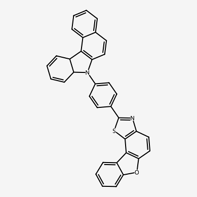 C1=CC2c3c(ccc4ccccc34)N(c3ccc(-c4nc5ccc6oc7ccccc7c6c5s4)cc3)C2C=C1